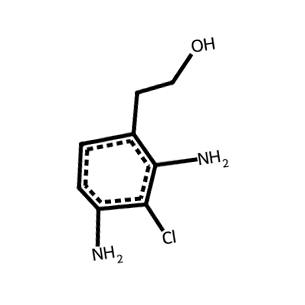 Nc1ccc(CCO)c(N)c1Cl